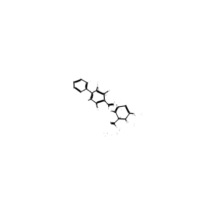 CONC(=O)C1c2[nH]c(-c3c(F)c(F)c(-c4ccccc4)c(F)c3F)nc2C=C(C)C1C